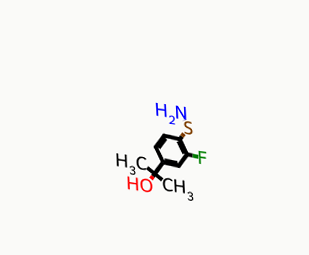 CC(C)(O)c1ccc(SN)c(F)c1